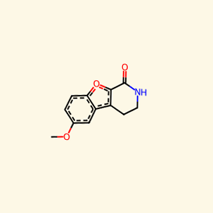 COc1ccc2oc3c(c2c1)CCNC3=O